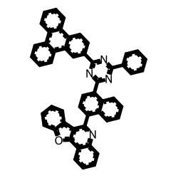 c1ccc(-c2nc(-c3ccc4c5ccccc5c5ccccc5c4c3)nc(-c3ccc(-c4nc5ccccc5c5oc6ccccc6c45)c4ccccc34)n2)cc1